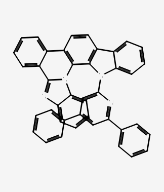 c1ccc(-c2cc(-c3ccccc3)nc(-n3c4ccccc4c4ccc5c6ccccc6c6nc7ccccc7n6c5c43)c2)cc1